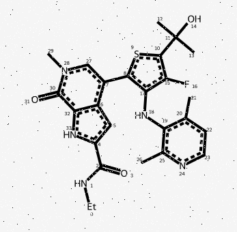 CCNC(=O)c1cc2c(-c3sc(C(C)(C)O)c(F)c3Nc3c(C)ccnc3C)cn(C)c(=O)c2[nH]1